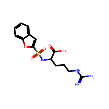 N=C(N)NCCCC(NS(=O)(=O)c1cc2ccccc2o1)C(=O)O